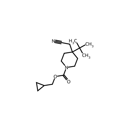 CC(C)(C)C1(CC#N)CCN(C(=O)OCC2CC2)CC1